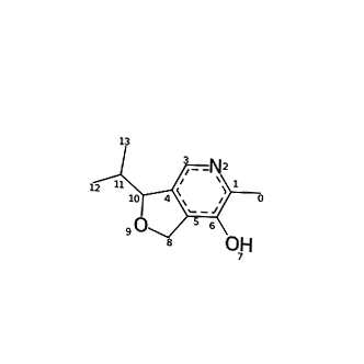 Cc1ncc2c(c1O)COC2C(C)C